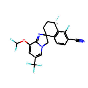 N#Cc1ccc2c(c1F)[C@@H](F)CCC21CN2C=C(C(F)(F)F)C=C(OC(F)F)C2=N1